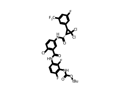 CC(C)(C)OC(=O)Nc1c(F)ccc(NC(=O)c2cc(NC(=O)[C@@H]3C(c4cc(F)cc(C(F)(F)F)c4)C3(Cl)Cl)ccc2Cl)c1F